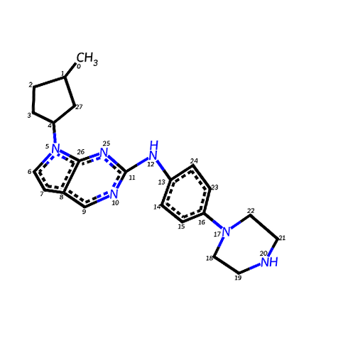 CC1CCC(n2ccc3cnc(Nc4ccc(N5CCNCC5)cc4)nc32)C1